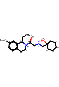 COCC1c2cc(OC)ccc2CCN1C(=O)CNCC1(O)CCCCC1